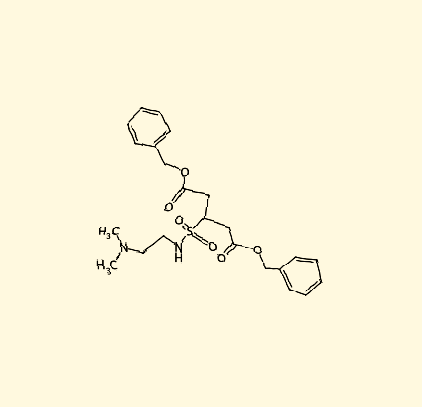 CN(C)CCNS(=O)(=O)C(CC(=O)OCc1ccccc1)CC(=O)OCc1ccccc1